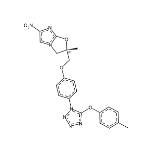 Cc1ccc(Oc2nnnn2-c2ccc(OC[C@]3(C)Cn4cc([N+](=O)[O-])nc4O3)cc2)cc1